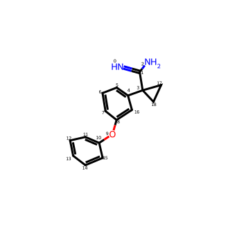 N=C(N)C1(c2cccc(Oc3ccccc3)c2)CC1